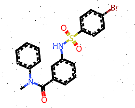 CN(C(=O)c1cccc(NS(=O)(=O)c2ccc(Br)cc2)c1)c1ccccc1